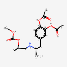 CCCCOC(=O)OC(C)CN[C@@H](Cc1ccc(OC(=O)C(C)C)c(OC(=O)C(C)C)c1)C(=O)O